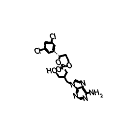 Nc1ncnc2c1ncn2CC(CO)CP1(=O)OCC[C@@H](c2cc(Cl)cc(Cl)c2)O1